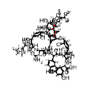 CN[C@H](CC(C)C)C(=O)N[C@@H]1C(=O)NC(CC(N)=O)C(=O)NC2C(=O)NC3C(=O)N[C@H](C(=O)NC(C(=O)O)c4cc(O)cc(O)c4-c4cc3ccc4O)[C@H](O)c3ccc(c(Cl)c3)Oc3cc2cc(c3OC2OC(CO)C(O)C(O)C2OC(C)OC(C)C(O)C(C)(C)NCC(OC)C(=O)OC)Oc2ccc(cc2Cl)C1O